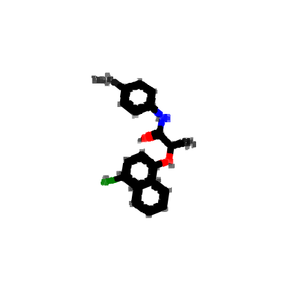 CCOC(=O)c1ccc(NC(=O)C(C)Oc2ccc(Cl)c3ccccc23)cc1